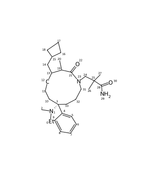 CCN(C)[C@]1(c2ccccc2)CCCC(CC2CCC2)C(C)C(=O)N(CC(C)(C)C(N)=O)CCC1